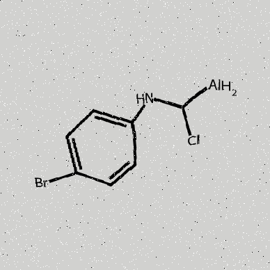 [AlH2][CH](Cl)Nc1ccc(Br)cc1